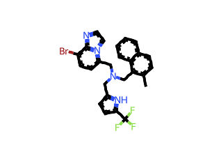 Cc1ccc2ccccc2c1CN(Cc1ccc(C(F)(F)F)[nH]1)Cc1ccc(Br)c2nccn12